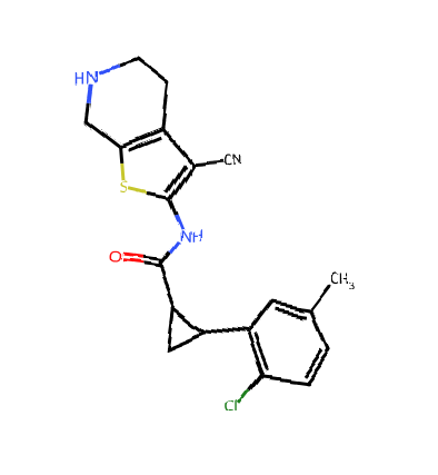 Cc1ccc(Cl)c(C2CC2C(=O)Nc2sc3c(c2C#N)CCNC3)c1